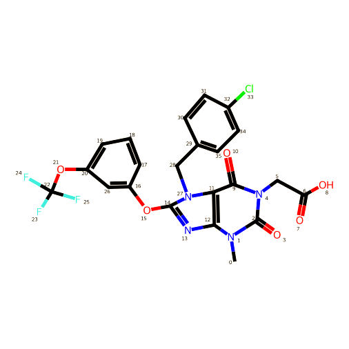 Cn1c(=O)n(CC(=O)O)c(=O)c2c1nc(Oc1cccc(OC(F)(F)F)c1)n2Cc1ccc(Cl)cc1